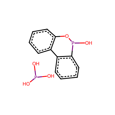 OP(O)O.OP1Oc2ccccc2-c2ccccc21